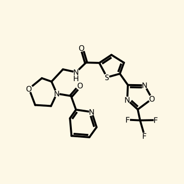 O=C(NCC1COCCN1C(=O)c1ccccn1)c1ccc(-c2noc(C(F)(F)F)n2)s1